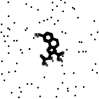 CC(=O)Nc1sc2c(c1C(N)=O)CCc1ccc(N)cc1-2